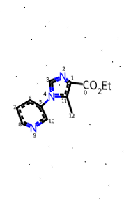 CCOC(=O)c1ncn(-c2cccnc2)c1C